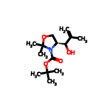 C=C(C)C(O)[C@H]1COC(C)(C)N1C(=O)OC(C)(C)C